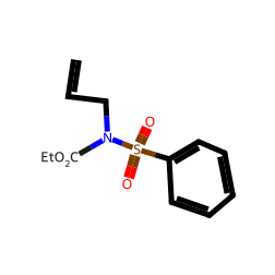 C=CCN(C(=O)OCC)S(=O)(=O)c1ccccc1